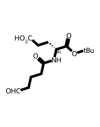 CC(C)(C)OC(=O)[C@@H](CCC(=O)O)NC(=O)CCCC=O